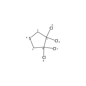 ClC1(Cl)CSCC1(Cl)Cl